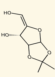 CC1(C)OC2O/C(=C/O)[C@@H](O)C2O1